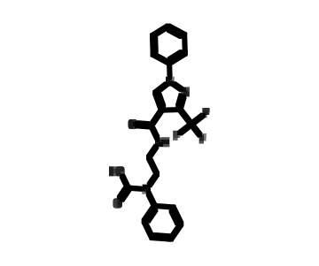 O=C(NCCN(C(=O)O)c1ccccc1)c1cn(-c2ccccc2)nc1C(F)(F)F